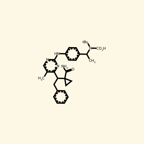 Cc1cnc(Nc2ccc(C(C)N(C(=O)O)C(C)(C)C)cc2)nc1C(Cc1ccccc1)C1(C(N)=O)CC1